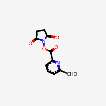 O=Cc1cccc(C(=O)ON2C(=O)CCC2=O)n1